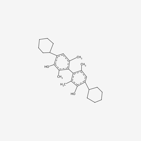 Cc1cc(C2CCCCC2)c(O)c(C)c1-c1c(C)cc(C2CCCCC2)c(O)c1C